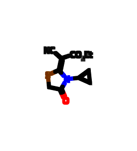 CCOC(=O)C(C#N)=C1SCC(=O)N1C1CC1